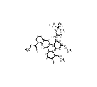 COC(=O)c1cccc(CC(C(=O)c2ccc(F)c(OC)c2)c2ccc(OC)cc2NC(=O)OC(C)(C)C)n1